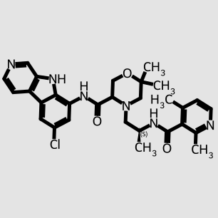 Cc1ccnc(C)c1C(=O)N[C@@H](C)CN1CC(C)(C)OCC1C(=O)Nc1cc(Cl)cc2c1[nH]c1cnccc12